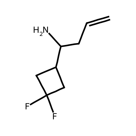 C=CCC(N)C1CC(F)(F)C1